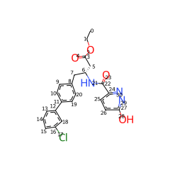 CCOC(=O)C[C@@H](Cc1ccc(-c2cccc(Cl)c2)cc1)NC(=O)c1ccc(O)nn1